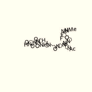 CNCC(C=N)c1cc2c(cc1C(F)F)N(c1nn(C3CCN(C(=O)CCCN4CCC(CNc5cccc6c5n(C)c(=O)n6C5CCC(=O)NC5=O)CC4)CC3)c3c1CN(C(C)=O)CC3)CCC2